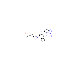 CN(C)c1nnc2ccc3nc(-c4ccc([C@]5(N)C[C@@](O)(C6CC6)C5)cc4)c(-c4ccccc4)nc3n12